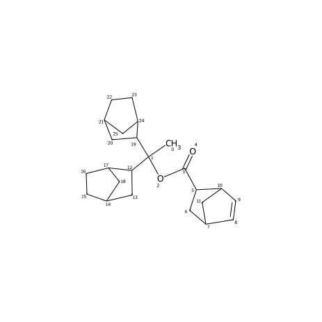 CC(OC(=O)C1CC2C=CC1C2)(C1CC2CCC1C2)C1CC2CCC1C2